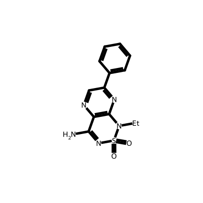 CCN1c2nc(-c3ccccc3)cnc2C(N)=NS1(=O)=O